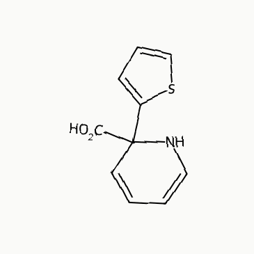 O=C(O)C1(c2cccs2)C=CC=CN1